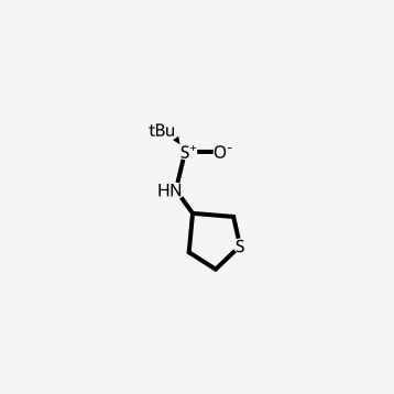 CC(C)(C)[S@@+]([O-])NC1CCSC1